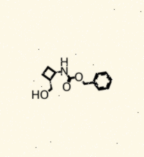 O=C(N[C@@H]1CC[C@@H]1CO)OCc1ccccc1